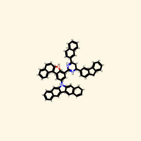 C1=Cc2cc3c4cc5ccccc5cc4n(-c4cc(C5=NC(c6ccc7c(c6)-c6ccccc6C7)CC(c6ccc7ccccc7c6)=N5)c5oc6ccc7ccccc7c6c5c4)c3cc2CC1